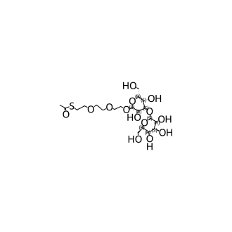 CC(=O)SCCOCCOCCO[C@H]1O[C@H](CO)[C@H](O)[C@H](O[C@@H]2O[C@H](CO)[C@H](O)[C@H](O)[C@H]2O)[C@H]1O